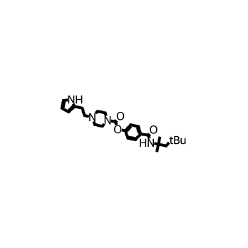 CC(C)(C)CC(C)(C)NC(=O)c1ccc(OC(=O)N2CCN(CCc3ccc[nH]3)CC2)cc1